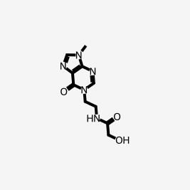 Cn1cnc2c(=O)n(CCNC(=O)CO)cnc21